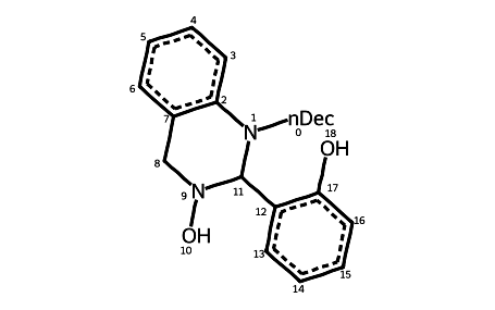 CCCCCCCCCCN1c2ccccc2CN(O)C1c1ccccc1O